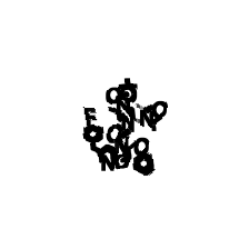 C[C@@H]1CN(CC(=O)N2c3cc(Cc4ccc(F)cc4)cnc3OC[C@@H]2COc2ccccc2)[C@@H](CN2[C@H](C)COC[C@H]2C)CN1C(=O)OC(C)(C)C